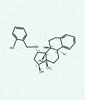 C[C@]12CC[C@@H]3c4ccccc4CC[C@H]3[C@@]1(O)[C@@H](NCc1ccccc1O)C[C@@H]2O